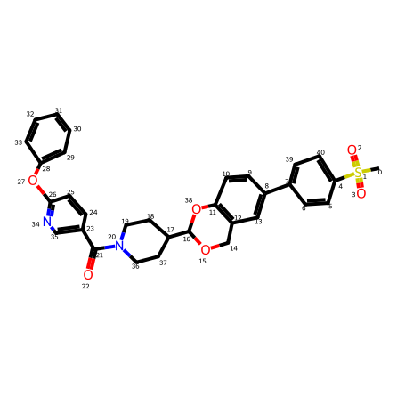 CS(=O)(=O)c1ccc(-c2ccc3c(c2)COC(C2CCN(C(=O)c4ccc(Oc5ccccc5)nc4)CC2)O3)cc1